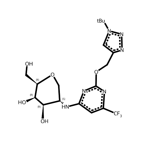 CC(C)(C)n1cc(COc2nc(N[C@H]3CO[C@H](CO)[C@H](O)[C@@H]3O)cc(C(F)(F)F)n2)nn1